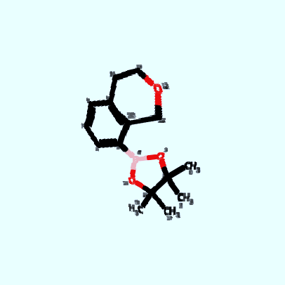 CC1(C)OB(c2cccc3c2COCC3)OC1(C)C